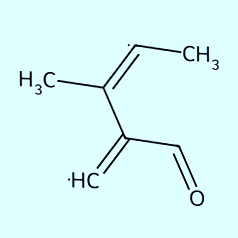 [CH]=C(C=O)/C(C)=[C]\C